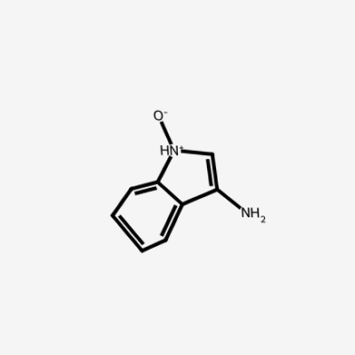 NC1=C[NH+]([O-])c2ccccc21